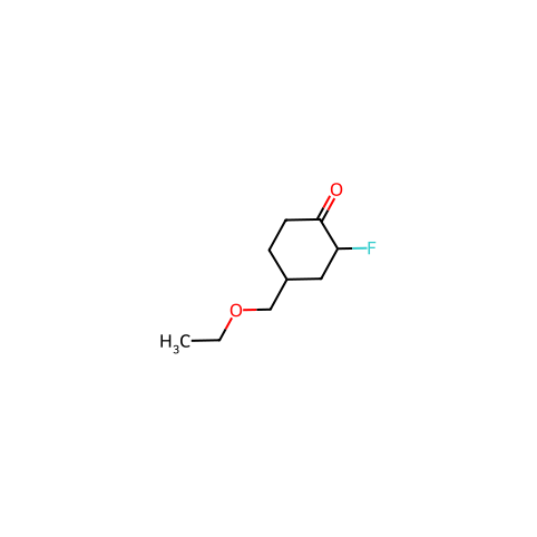 CCOCC1CCC(=O)C(F)C1